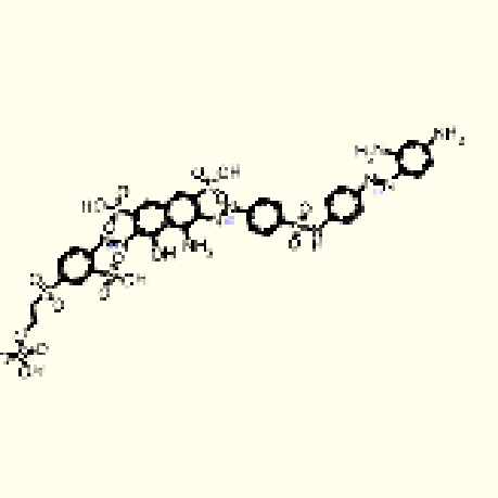 Nc1ccc(/N=N/c2ccc(NS(=O)(=O)c3ccc(/N=N/c4c(S(=O)(=O)O)cc5cc(S(=O)(=O)O)c(/N=N/c6ccc(S(=O)(=O)CCOS(=O)(=O)O)cc6S(=O)(=O)O)c(O)c5c4N)cc3)cc2)c(N)c1